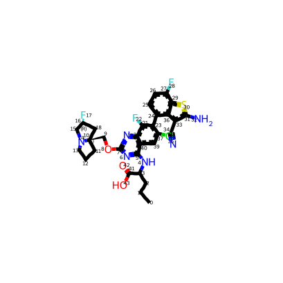 CCCC(Nc1nc(OC[C@@]23CCCN2C[C@H](F)C3)nc2c(F)c(-c3ccc(F)c4sc(N)c(C#N)c34)c(Cl)cc12)C(=O)O